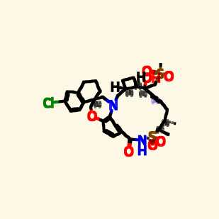 C[C@@H]1[C@@H](C)C/C=C/[C@@](O)(CS(C)(=O)=O)[C@@H]2CC[C@H]2CN2C[C@@]3(CCCc4cc(Cl)ccc43)COc3ccc(cc32)C(=O)NS1(=O)=O